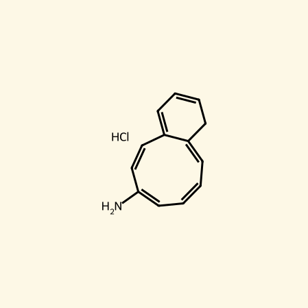 Cl.NC1=CC=CC=C2CC=CC=C2C=C1